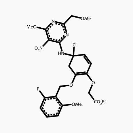 CCOC(=O)COC1=C(OCc2c(F)cccc2OC)CC(Cl)(Nc2nc(COC)nc(OC)c2[N+](=O)[O-])C=C1